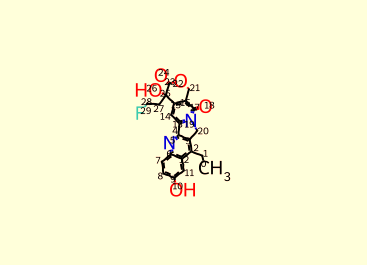 CCc1c2c(nc3ccc(O)cc13)-c1cc3c(c(=O)n1C2)COC(=O)C3(O)CCF